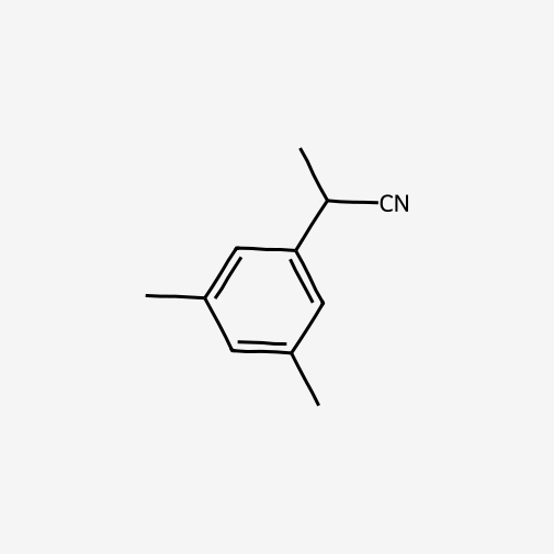 Cc1cc(C)cc(C(C)C#N)c1